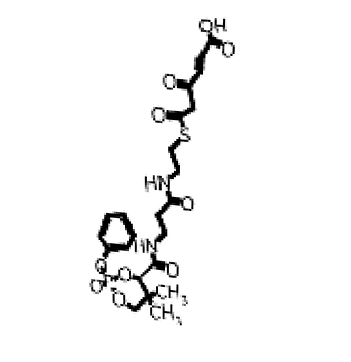 CC1(C)COP(=O)(Oc2ccccc2)O[C@H]1C(=O)NCCC(=O)NCCSC(=O)CC(=O)/C=C/C(=O)O